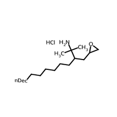 CCCCCCCCCCCCCCCCC(CC1CO1)C(C)(C)N.Cl